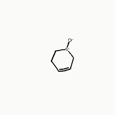 [O-][S+]1C[C]=CCC1